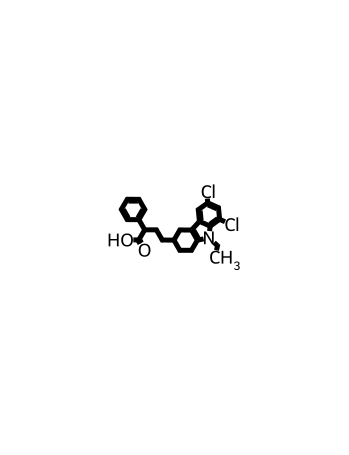 CCn1c2c(c3cc(Cl)cc(Cl)c31)CC(CCC(C(=O)O)c1ccccc1)CC2